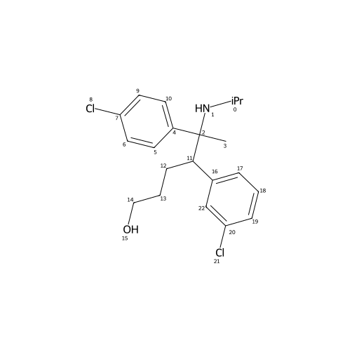 CC(C)NC(C)(c1ccc(Cl)cc1)C(CCCO)c1cccc(Cl)c1